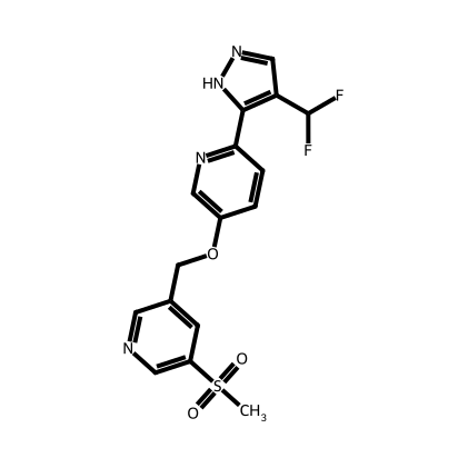 CS(=O)(=O)c1cncc(COc2ccc(-c3[nH]ncc3C(F)F)nc2)c1